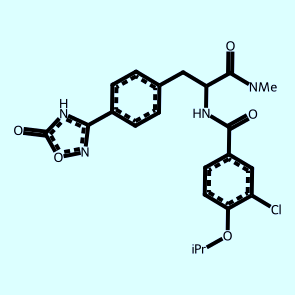 CNC(=O)C(Cc1ccc(-c2noc(=O)[nH]2)cc1)NC(=O)c1ccc(OC(C)C)c(Cl)c1